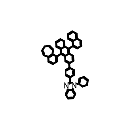 C1=CCCC(n2c(-c3ccc(-c4ccc5c(-c6cccc7ccccc67)c6ccccc6c(-c6cccc7c6C=CCC=C7)c5c4)cc3)nc3ccccc32)=C1